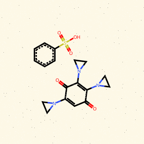 O=C1C=C(N2CC2)C(=O)C(N2CC2)=C1N1CC1.O=S(=O)(O)c1ccccc1